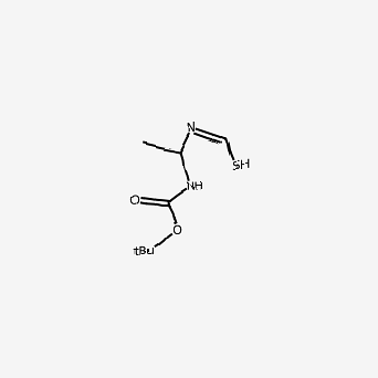 CC(/N=C\S)NC(=O)OC(C)(C)C